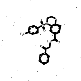 O=C(CNC(=O)c1ccc2c(c1)N(S(=O)(=O)c1ccc(C(F)(F)F)cc1)CCS2)c1ccccc1